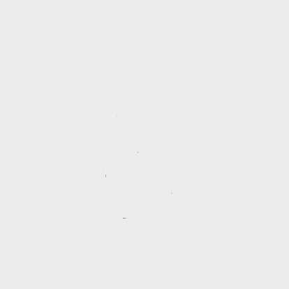 BrC1CCCOC1[C]1CCCCCCCCC1